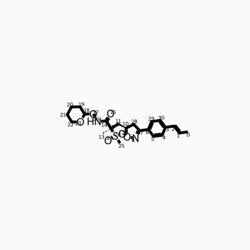 CC=Cc1ccc(C2=NO[C@@H](C[C@](C)(C(=O)NOC3CCCCO3)S(C)(=O)=O)C2)cc1